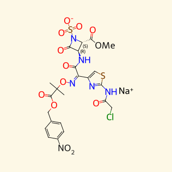 COC(=O)[C@@H]1[C@@H](NC(=O)C(=NOC(C)(C)C(=O)OCc2ccc([N+](=O)[O-])cc2)c2csc(NC(=O)CCl)n2)C(=O)N1S(=O)(=O)[O-].[Na+]